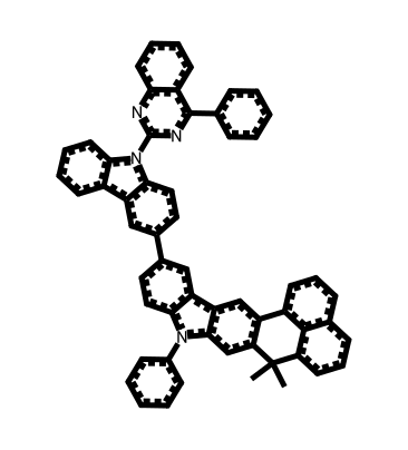 CC1(C)c2cc3c(cc2-c2cccc4cccc1c24)c1cc(-c2ccc4c(c2)c2ccccc2n4-c2nc(-c4ccccc4)c4ccccc4n2)ccc1n3-c1ccccc1